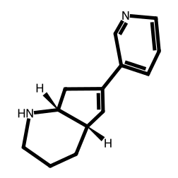 C1=C(c2cccnc2)C[C@H]2NCCC[C@@H]12